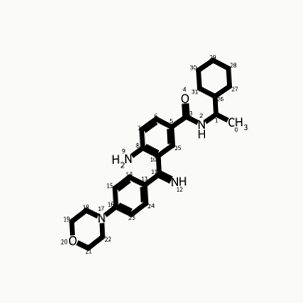 CC(NC(=O)c1ccc(N)c(C(=N)c2ccc(N3CCOCC3)cc2)c1)C1CCCCC1